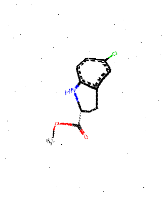 COC(=O)[C@H]1Cc2cc(Cl)ccc2N1